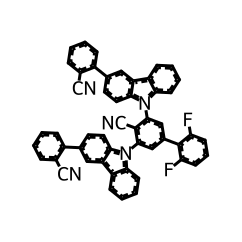 N#Cc1ccccc1-c1ccc2c(c1)c1ccccc1n2-c1cc(-c2c(F)cccc2F)cc(-n2c3ccccc3c3cc(-c4ccccc4C#N)ccc32)c1C#N